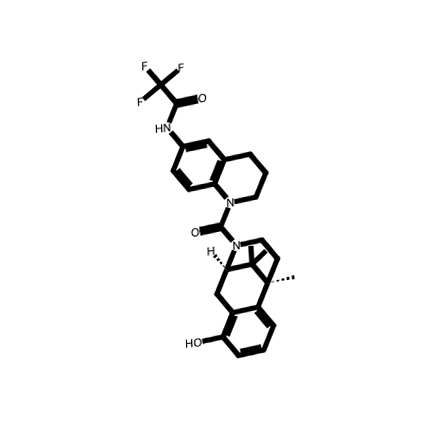 CC1(C)[C@H]2Cc3c(O)cccc3[C@]1(C)CCN2C(=O)N1CCCc2cc(NC(=O)C(F)(F)F)ccc21